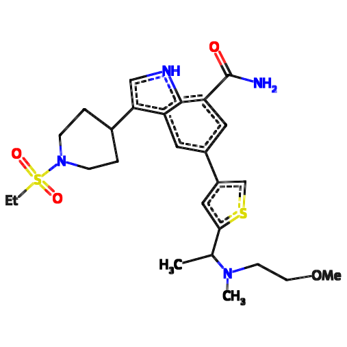 CCS(=O)(=O)N1CCC(c2c[nH]c3c(C(N)=O)cc(-c4csc(C(C)N(C)CCOC)c4)cc23)CC1